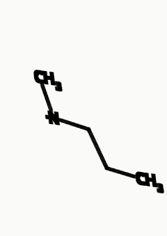 CCC[N]C